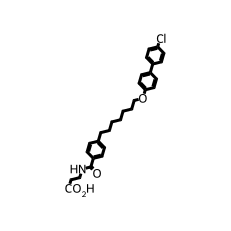 O=C(O)CCNC(=O)c1ccc(CCCCCCCOc2ccc(-c3ccc(Cl)cc3)cc2)cc1